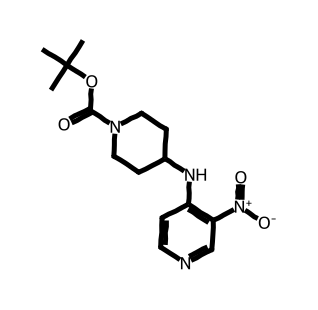 CC(C)(C)OC(=O)N1CCC(Nc2ccncc2[N+](=O)[O-])CC1